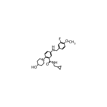 COc1ccc(CNc2ccc(N3CCC(O)CC3)c(C(=O)NCC3CC3)c2)cc1F